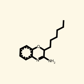 CCCCCCC1Oc2ccccc2N=C1N